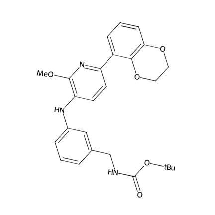 COc1nc(-c2cccc3c2OCCO3)ccc1Nc1cccc(CNC(=O)OC(C)(C)C)c1